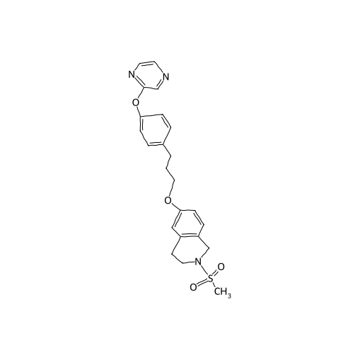 CS(=O)(=O)N1CCc2cc(OCCCc3ccc(Oc4cnccn4)cc3)ccc2C1